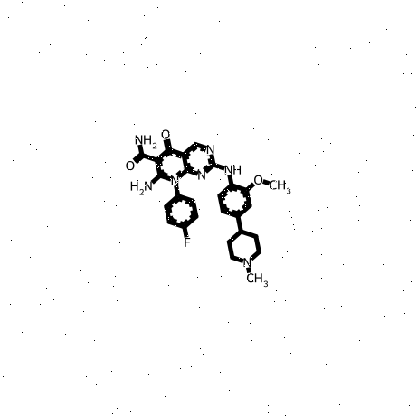 COc1cc(C2CCN(C)CC2)ccc1Nc1ncc2c(=O)c(C(N)=O)c(N)n(-c3ccc(F)cc3)c2n1